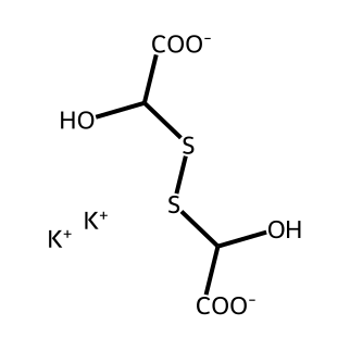 O=C([O-])C(O)SSC(O)C(=O)[O-].[K+].[K+]